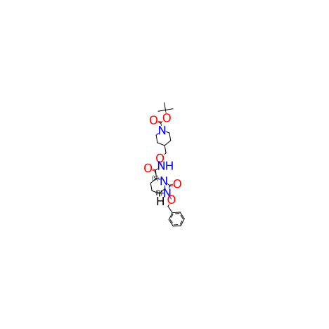 CC(C)(C)OC(=O)N1CCC(CONC(=O)[C@@H]2CC[C@@H]3CN2C(=O)N3OCc2ccccc2)CC1